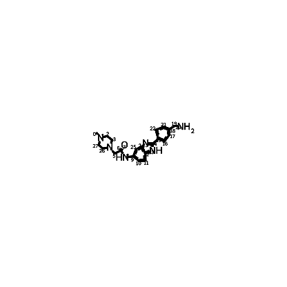 CN1CCN(CC(=O)Nc2ccc3[nH]c(-c4ccc(CN)cc4)nc3c2)CC1